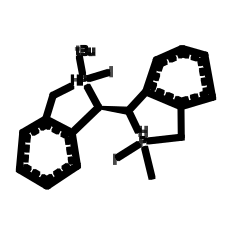 CC(C)(C)[PH]1(I)Cc2ccccc2[C@@H]1C1c2ccccc2C[PH]1(C)I